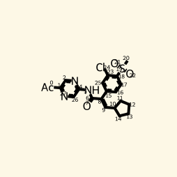 CC(=O)c1cnc(NC(=O)/C(=C/C2CCCC2)c2ccc(S(C)(=O)=O)c(Cl)c2)cn1